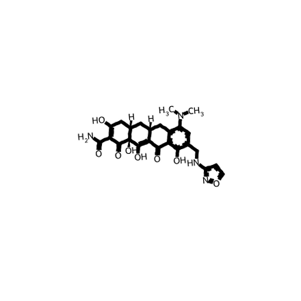 CN(C)c1cc(CNc2ccon2)c(O)c2c1C[C@H]1C[C@H]3CC(O)=C(C(N)=O)C(=O)[C@@]3(O)C(O)=C1C2=O